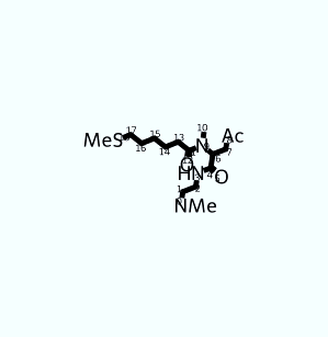 CNCCNC(=O)C(CC(C)=O)N(C)C(=O)CCCCCSC